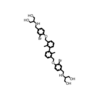 Cc1c(COc2ccc(CNC(CO)CO)cc2Br)cccc1-c1cccc(COc2ccc(CNC(CO)CO)cc2Br)c1C